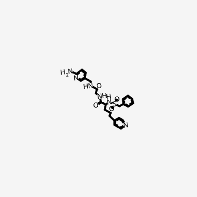 Nc1ccc(CNC(=O)CNC(=O)C(CCCc2ccncc2)NS(=O)(=O)Cc2ccccc2)cn1